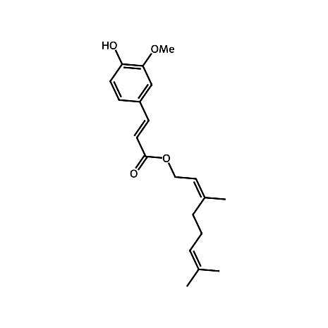 COc1cc(C=CC(=O)OCC=C(C)CCC=C(C)C)ccc1O